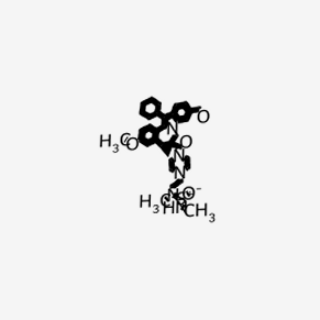 CN[S+]([O-])N(C)CCN1CCN(C(=O)C23CC2c2cc(OC)ccc2-c2c(C4CCCCC4)c4ccc(C=O)cc4n2C3)CC1